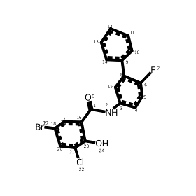 O=C(Nc1ccc(F)c(-c2ccccc2)c1)c1cc(Br)cc(Cl)c1O